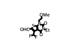 CCn1c(=O)c2c(C(F)F)c(C=O)sc2n(CCOC)c1=O